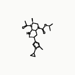 CC(=O)N1C2NCC(c3cc(C)n(C4CC4)c3)CC2N(C(=O)OC(C)C)C[C@@H]1C